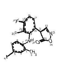 Cc1cc(I)ccc1Nc1c(C2C=NOC2=O)ccc(F)c1F